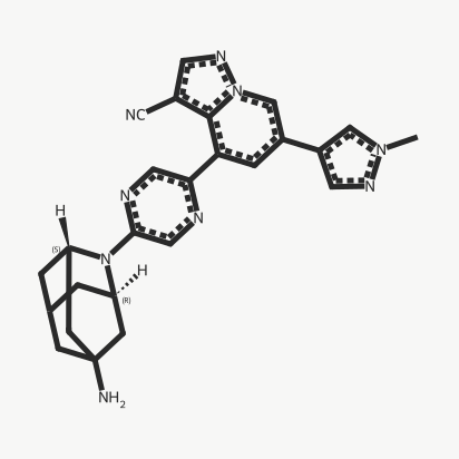 Cn1cc(-c2cc(-c3cnc(N4[C@@H]5CC6C[C@H]4CC(N)(C6)C5)cn3)c3c(C#N)cnn3c2)cn1